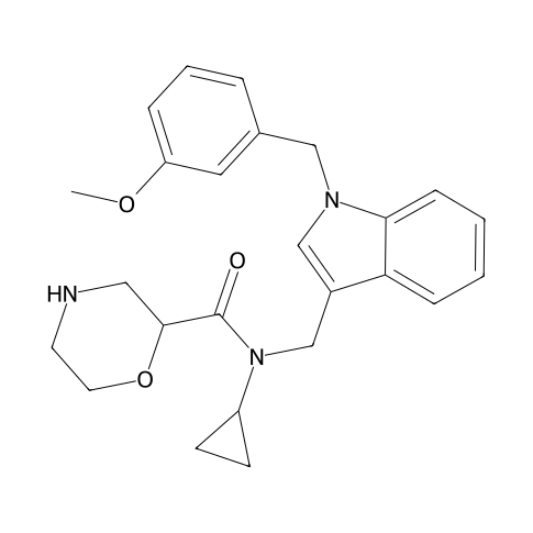 COc1cccc(Cn2cc(CN(C(=O)C3CNCCO3)C3CC3)c3ccccc32)c1